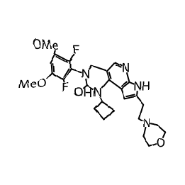 COc1cc(OC)c(F)c(N2Cc3cnc4[nH]c(CCN5CCOCC5)cc4c3N(C3CCC3)C2O)c1F